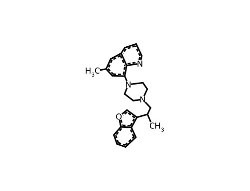 Cc1cc(N2CCN(CC(C)c3coc4ccccc34)CC2)c2ncccc2c1